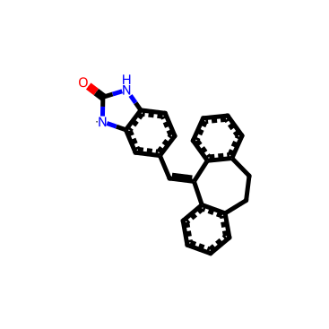 O=C1[N]c2cc(C=C3c4ccccc4CCc4ccccc43)ccc2N1